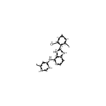 Cc1cc(Nc2nccc3nc(-c4c(C)cccc4Cl)[nH]c23)ncn1